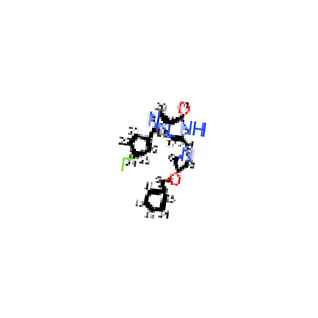 O=c1[nH]c(CN2CC(OCc3ccccc3)C2)cn2c(-c3ccc(F)cc3)ncc12